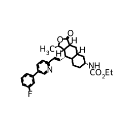 CCOC(=O)N[C@@H]1CCC2[C@@H](C1)C[C@H]1C(=O)O[C@H](C)[C@H]1[C@H]2/C=C/c1ccc(-c2cccc(F)c2)cn1